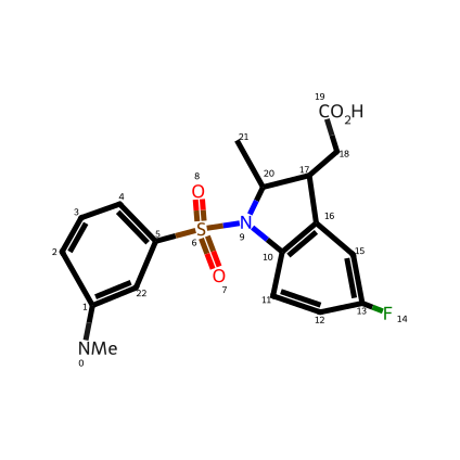 CNc1cccc(S(=O)(=O)N2c3ccc(F)cc3C(CC(=O)O)C2C)c1